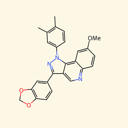 COc1ccc2ncc3c(-c4ccc5c(c4)OCO5)nn(-c4ccc(C)c(C)c4)c3c2c1